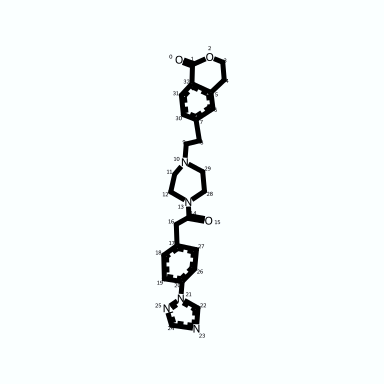 O=C1OCCc2cc(CCN3CCN(C(=O)Cc4ccc(-n5cncn5)cc4)CC3)ccc21